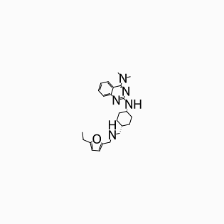 CCc1ccc(CNC[C@H]2CC[C@@H](Nc3nc(N(C)C)c4ccccc4n3)CC2)o1